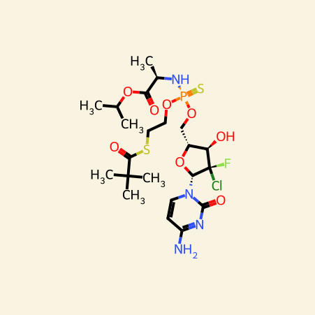 CC(C)OC(=O)[C@@H](C)N[P@@](=S)(OCCSC(=O)C(C)(C)C)OC[C@H]1O[C@@H](n2ccc(N)nc2=O)[C@@](F)(Cl)[C@@H]1O